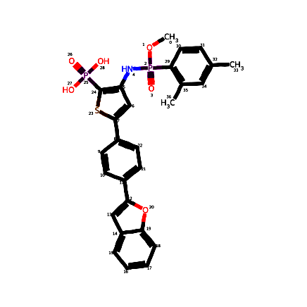 COP(=O)(Nc1cc(-c2ccc(-c3cc4ccccc4o3)cc2)sc1P(=O)(O)O)c1ccc(C)cc1C